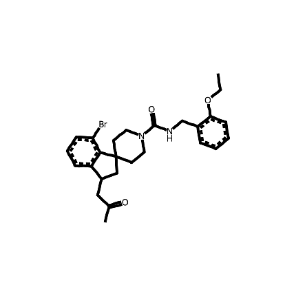 CCOc1ccccc1CNC(=O)N1CCC2(CC1)CC(CC(C)=O)c1cccc(Br)c12